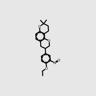 CCOc1ccc(C2COc3c(ccc4c3CCC(C)(C)O4)C2)cc1N=O